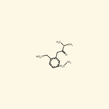 CN(C)C(=O)Cc1ccccc1CC(=O)O.CS(=O)(=O)O